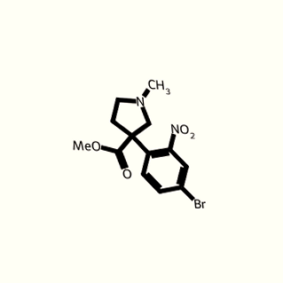 COC(=O)C1(c2ccc(Br)cc2[N+](=O)[O-])CCN(C)C1